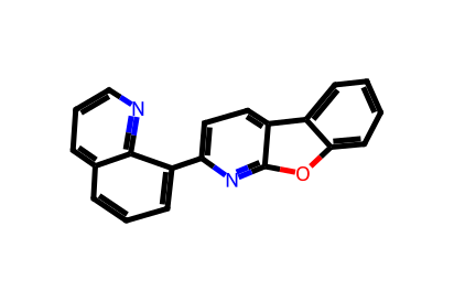 c1cnc2c(-c3ccc4c(n3)oc3ccccc34)cccc2c1